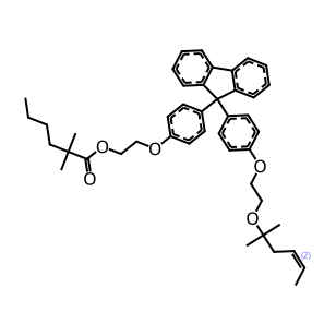 C/C=C\CC(C)(C)OCCOc1ccc(C2(c3ccc(OCCOC(=O)C(C)(C)CCCC)cc3)c3ccccc3-c3ccccc32)cc1